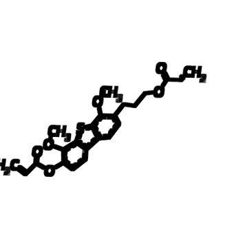 C=CC(=O)OCCCc1ccc2c(sc3c(OC)c(OC(=O)C=C)ccc32)c1OC